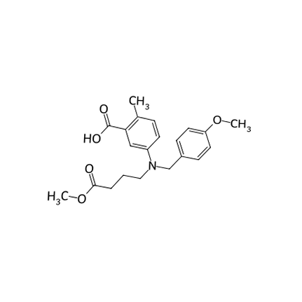 COC(=O)CCCN(Cc1ccc(OC)cc1)c1ccc(C)c(C(=O)O)c1